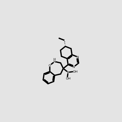 CC[C@H]1CCc2c(ncnc2C2(B(O)O)CNOc3ccccc3C2)C1